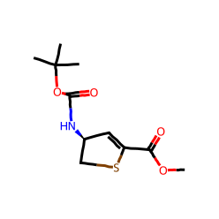 COC(=O)C1=C[C@H](NC(=O)OC(C)(C)C)CS1